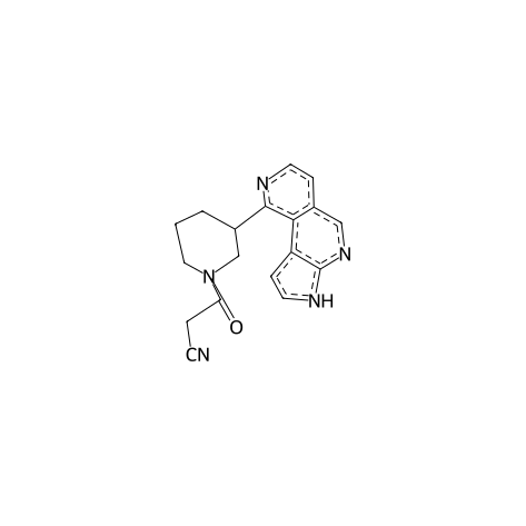 N#CCC(=O)N1CCCC(c2nccc3cnc4[nH]ccc4c23)C1